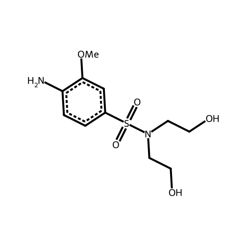 COc1cc(S(=O)(=O)N(CCO)CCO)ccc1N